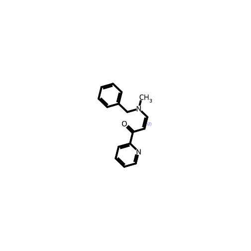 CN(/C=C\C(=O)c1ccccn1)Cc1ccccc1